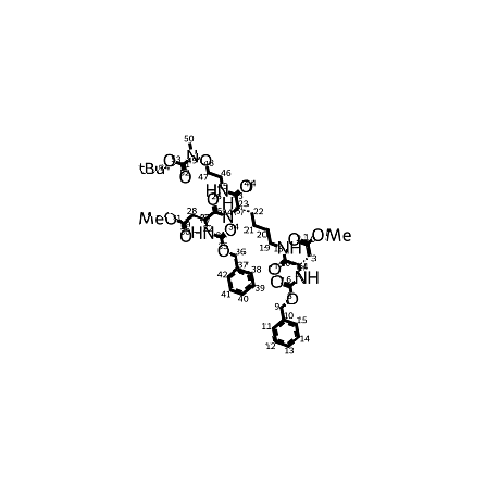 COC(=O)C[C@H](NC(=O)OCc1ccccc1)C(=O)NCCCC[C@H](NC(=O)[C@H](CC(=O)OC)NC(=O)OCc1ccccc1)C(=O)NCCON(C)C(=O)OC(C)(C)C